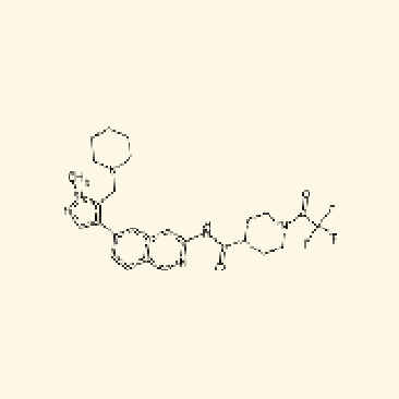 Cn1ncc(-c2ccc3cnc(NC(=O)C4CCN(C(=O)C(F)(F)F)CC4)cc3c2)c1CN1CCCCC1